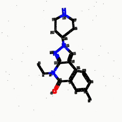 CCn1c(=O)c2cc(C)ccc2c2cn(C3CCNCC3)nc21